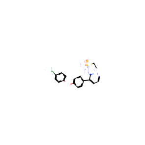 O=S1(=O)CCN2C=CC=C(c3ccc(Oc4ccc(Cl)cc4)cc3)C2=N1